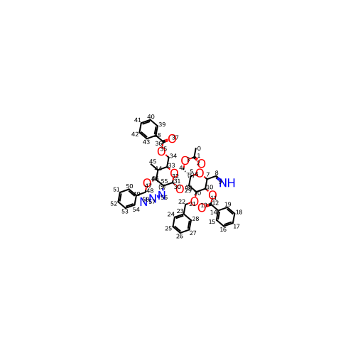 CC(=O)OC[C@@H]1OC(C=N)C(OC(=O)c2ccccc2)C(OCc2ccccc2)[C@@H]1OC1OC(COC(=O)c2ccccc2)C(C)[C@@H](OCc2ccccc2)[C@@H]1N=[N+]=[N-]